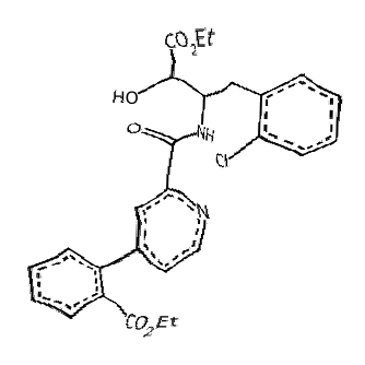 CCOC(=O)c1ccccc1-c1ccnc(C(=O)NC(Cc2ccccc2Cl)C(O)C(=O)OCC)c1